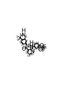 CC1(C)CNCc2cc(NC(=O)c3cccnc3Nc3ccc4c(c3)OC(F)(F)O4)ccc21